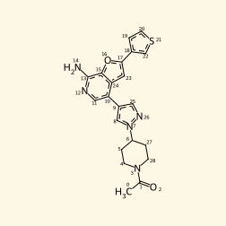 CC(=O)N1CCC(n2cc(-c3cnc(N)c4oc(-c5ccsc5)cc34)cn2)CC1